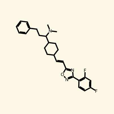 CN(C)C(CCc1ccccc1)C1CCC(/C=C/c2nc(-c3ccc(F)cc3F)no2)CC1